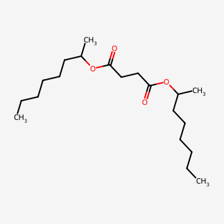 CCCCCCC(C)OC(=O)CCC(=O)OC(C)CCCCCC